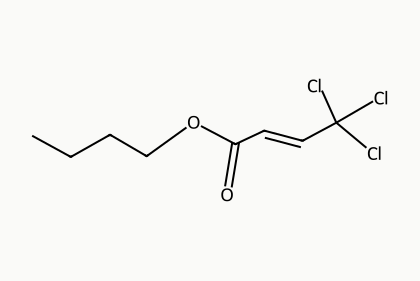 CCCCOC(=O)/C=C/C(Cl)(Cl)Cl